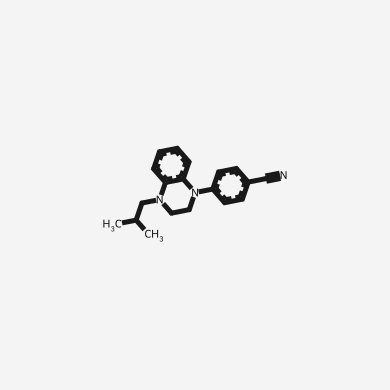 C[C](C)CN1CCN(c2ccc(C#N)cc2)c2ccccc21